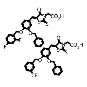 O=C(O)CN1C(=O)C(=Cc2ccc(OCc3ccc(F)cc3F)c(OCc3ccccc3)c2)SC1=S.O=C(O)CN1C(=O)C(=Cc2ccc(OCc3cccc(C(F)(F)F)c3)c(OCc3ccccc3)c2)SC1=S